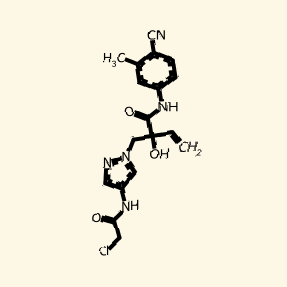 C=CC(O)(Cn1cc(NC(=O)CCl)cn1)C(=O)Nc1ccc(C#N)c(C)c1